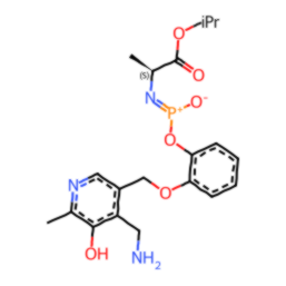 Cc1ncc(COc2ccccc2O[P+]([O-])=N[C@@H](C)C(=O)OC(C)C)c(CN)c1O